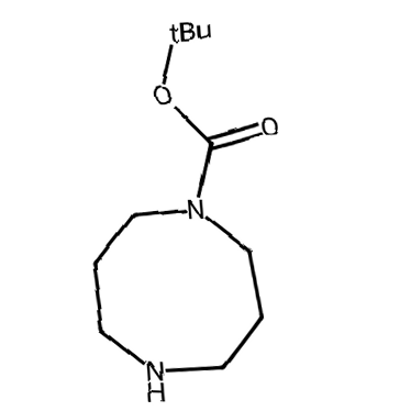 CC(C)(C)OC(=O)N1CCCNCCC1